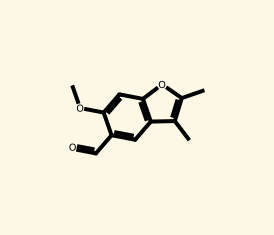 COc1cc2oc(C)c(C)c2cc1C=O